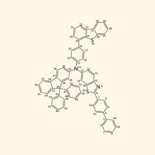 c1ccc(-c2ccc(-c3nc4ccc(N(c5ccc(-c6cccc7c6sc6ccccc67)cc5)c5ccc6c(c5)C(c5ccccc5)(c5ccccc5)c5ccccc5-6)cc4s3)cc2)cc1